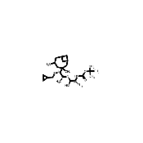 CC1CC2CC(C2)CC(C)([C@H](OCC2CC2)[C@H](C)OC(O)[C@H](C)NC(=O)OC(C)(C)C)C1